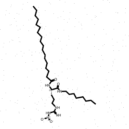 CCCCCCCCCCCCCCCCCC(=O)N[C@@H](CCCNC(=N)N[N+](=O)[O-])C(=O)NCCCCCCCC